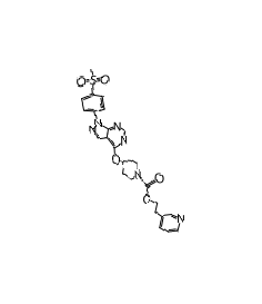 CS(=O)(=O)c1ccc(-n2ncc3c(OC4CCN(C(=O)OCCc5cccnc5)CC4)ncnc32)cc1